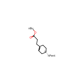 CCCCC[C@@H]1CC=C(CCC(=O)OCCCC)CC1